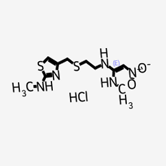 CN/C(=C\[N+](=O)[O-])NCCSCc1csc(NC)n1.Cl